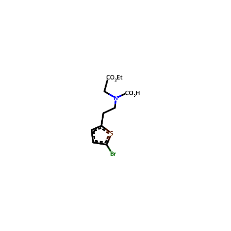 CCOC(=O)CN(CCc1ccc(Br)s1)C(=O)O